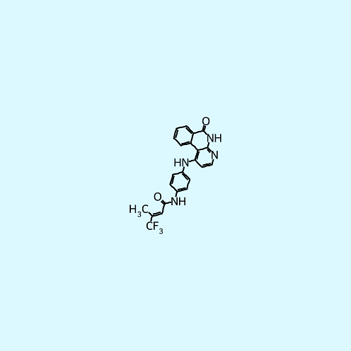 CC(=CC(=O)Nc1ccc(Nc2ccnc3[nH]c(=O)c4ccccc4c23)cc1)C(F)(F)F